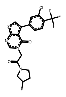 O=C(Cn1cnc2scc(-c3ccc(C(F)(F)F)c(Cl)c3)c2c1=O)N1CCC(F)C1